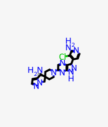 Nc1nccc(-c2n[nH]c3nc(N4CCC5(CC4)Cn4nccc4[C@H]5N)cnc23)c1Cl